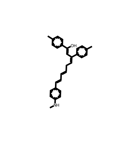 CNc1ccc(/C=C/C=C/C/C=C(\C=C(/O)c2ccc(C)cc2)c2ccc(C)cc2)cc1